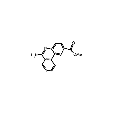 COC(=O)c1ccc2nc(N)c3cnccc3c2c1